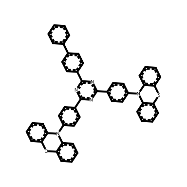 c1ccc(-c2ccc(-c3nc(-c4ccc(N5c6ccccc6Oc6ccccc65)cc4)nc(-c4ccc(N5c6ccccc6Sc6ccccc65)cc4)n3)cc2)cc1